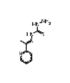 C/C(=N\NC(=S)NN)c1ccccn1